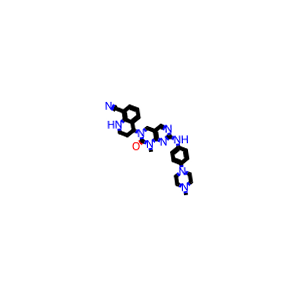 CN1CCN(c2ccc(Nc3ncc4c(n3)N(C)C(=O)N(C3CCNc5c(C#N)cccc53)C4)cc2)CC1